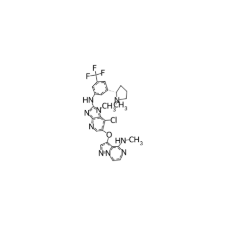 CNc1nccn2ncc(Oc3cnc4nc(Nc5cc([C@@H]6CCCN6C)cc(C(F)(F)F)c5)n(C)c4c3Cl)c12